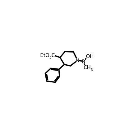 CCOC(=O)C1CCN(B(C)O)CC1c1ccccc1